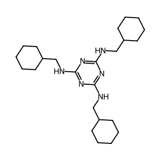 C1CCC(CNc2nc(NCC3CCCCC3)nc(NCC3CCCCC3)n2)CC1